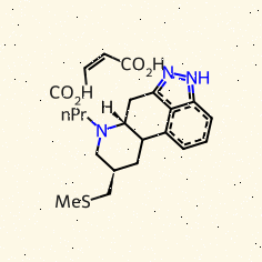 CCCN1C[C@H](CSC)CC2c3cccc4[nH]nc(c34)C[C@H]21.O=C(O)/C=C\C(=O)O